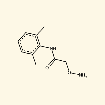 Cc1cccc(C)c1NC(=O)CON